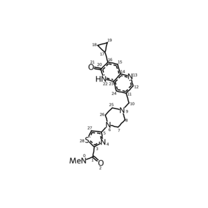 CNC(=O)c1nc(N2CCN(Cc3cnc4cc(C5CC5)c(=O)[nH]c4c3)CC2)cs1